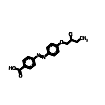 CCC(Cl)COc1ccc(N=Nc2ccc(C(=O)O)cc2)cc1